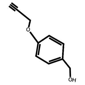 C#CCOc1ccc(CO)cc1